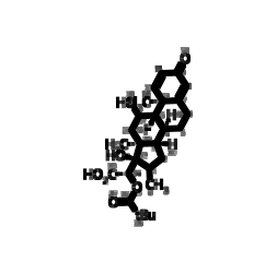 CC1C[C@H]2[C@@H]3CCC4=CC(=O)C=C[C@]4(C)[C@@]3(F)C(O)C[C@]2(C)[C@@]1(O)[C@H](OC(=O)C(C)(C)C)C(=O)O